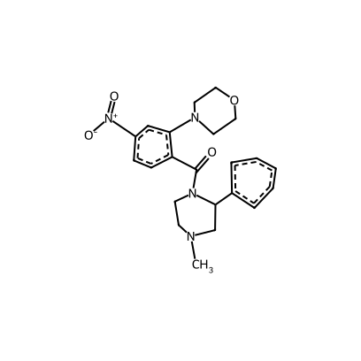 CN1CCN(C(=O)c2ccc([N+](=O)[O-])cc2N2CCOCC2)C(c2ccccc2)C1